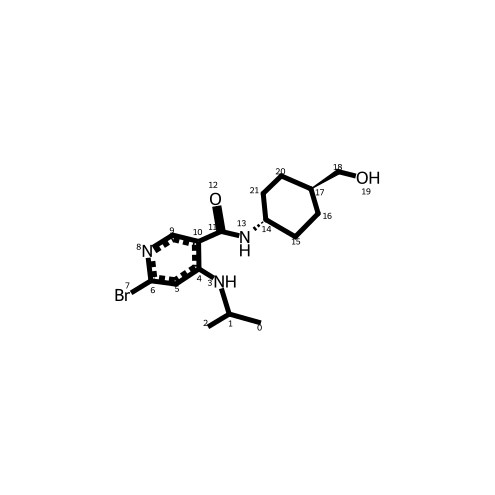 CC(C)Nc1cc(Br)ncc1C(=O)N[C@H]1CC[C@H](CO)CC1